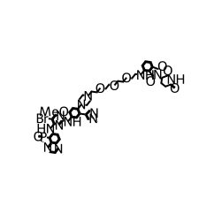 COc1cc(N2CCN(CCOCCOCCOCCNc3cccc4c3C(=O)N(C3CCC(=O)NC3=O)C4=O)CC2)c(-c2cnn(C)c2)cc1Nc1ncc(Br)c(Nc2ccc3nccnc3c2P(C)(C)=O)n1